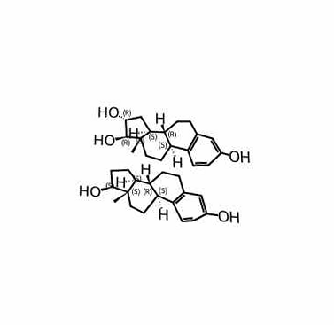 C[C@]12CC[C@@H]3c4ccc(O)cc4CC[C@H]3[C@@H]1CC[C@@H]2O.C[C@]12CC[C@@H]3c4ccc(O)cc4CC[C@H]3[C@@H]1C[C@@H](O)[C@@H]2O